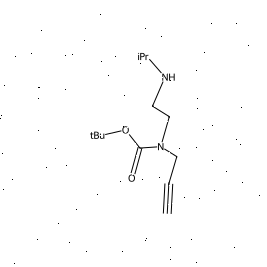 C#CCN(CCNC(C)C)C(=O)OC(C)(C)C